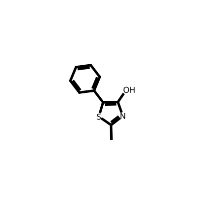 Cc1nc(O)c(-c2ccccc2)s1